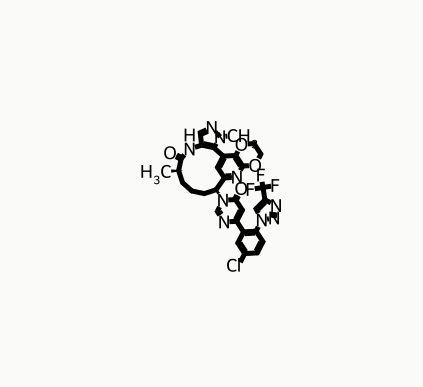 C[C@@H]1CCC[C@H](n2cnc(-c3cc(Cl)ccc3-n3cc(C(F)(F)F)nn3)cc2=O)c2cc(c3c(n2)OCCO3)-c2c(cnn2C)NC1=O